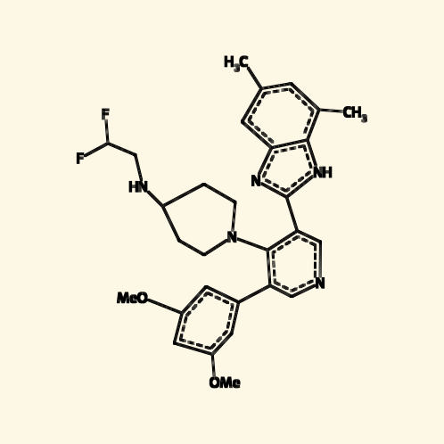 COc1cc(OC)cc(-c2cncc(-c3nc4cc(C)cc(C)c4[nH]3)c2N2CCC(NCC(F)F)CC2)c1